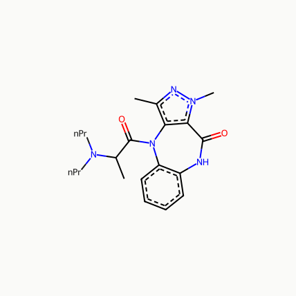 CCCN(CCC)C(C)C(=O)N1c2ccccc2NC(=O)c2c1c(C)nn2C